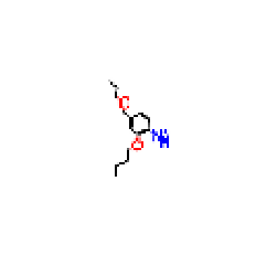 CCCCOc1cc(COCCC)ccc1[N+]#N